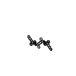 O=C1C(=Cc2cc3c(s2)C2=CC4C=C5C(=CC4C=C2C32CCCCC2)c2sc(C=C3C(=O)c4cc6cc7ccccc7cc6cc4C3=O)cc2C52CCCCC2)C(=O)c2cc3cc4ccccc4cc3cc21